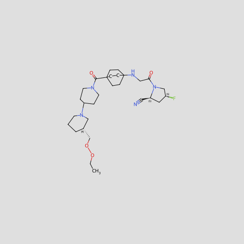 CCOOC[C@@H]1CCCN(C2CCN(C(=O)C34CCC(NCC(=O)N5C[C@@H](F)C[C@H]5C#N)(CC3)CC4)CC2)C1